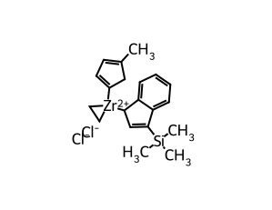 CC1=CC=[C]([Zr+2]2([CH]3C=C([Si](C)(C)C)c4ccccc43)[CH2][CH2]2)C1.[Cl-].[Cl-]